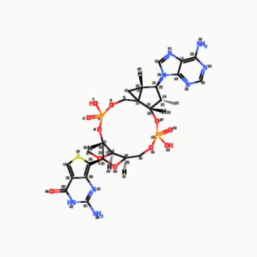 CO[C@H]1[C@H]2OP(=O)(O)OCC34C[C@@H]3[C@@H](n3cnc5c(N)ncnc53)[C@H](C)[C@@H]4OP(=O)(O)OC[C@H]1O[C@H]2c1scc2c(=O)[nH]c(N)nc12